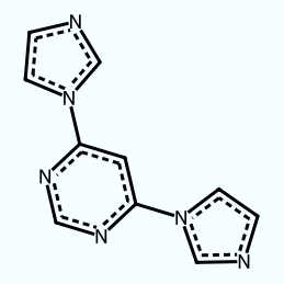 c1cn(-c2cc(-n3ccnc3)ncn2)cn1